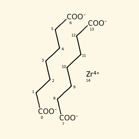 O=C([O-])CCCCCC(=O)[O-].O=C([O-])CCCCCC(=O)[O-].[Zr+4]